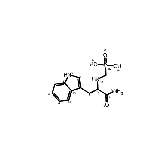 NC(=O)C(Cc1c[nH]c2ccccc12)NCP(=O)(O)O